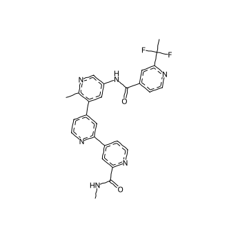 CNC(=O)c1cc(-c2cc(-c3cc(NC(=O)c4ccnc(C(C)(F)F)c4)cnc3C)ccn2)ccn1